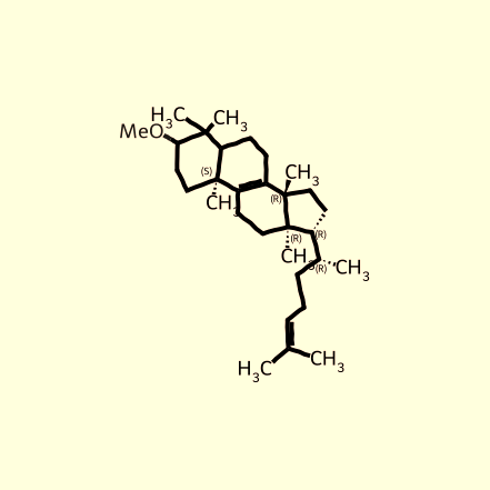 COC1CC[C@]2(C)C3=C(CCC2C1(C)C)[C@]1(C)CC[C@H]([C@H](C)CCC=C(C)C)[C@@]1(C)CC3